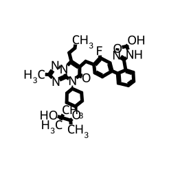 CCCc1c(Cc2ccc(-c3ccccc3C3=NOC(O)N3)cc2F)c(=O)n([C@H]2CC[C@H](OC(C)C(C)(C)O)CC2)c2nc(C)nn12